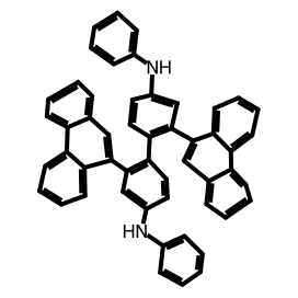 c1ccc(Nc2ccc(-c3ccc(Nc4ccccc4)cc3-c3cc4ccccc4c4ccccc34)c(-c3cc4ccccc4c4ccccc34)c2)cc1